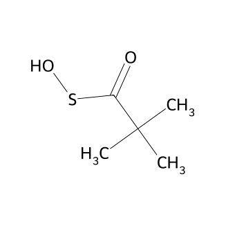 CC(C)(C)C(=O)SO